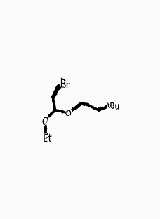 CCOC(CBr)OCCC(C)(C)C